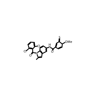 COC1C=CC(C(=O)Nc2ccc3c(c2)cc(C)n3C(=O)c2c(Cl)cccc2Cl)=CC1=S